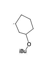 CCC(C)OC1C[CH]CCC1